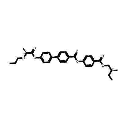 CCCO[C@@H](C)C(=O)Oc1ccc(-c2ccc(C(=O)Oc3ccc(C(=O)OC[C@@H](C)CC)cc3)cc2)cc1